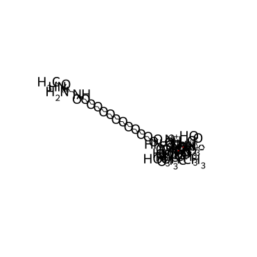 CCCNC(=O)[C@@H](N)CCCCNC(=O)CCOCCOCCOCCOCCOCCOCCOCCOCCOCCOCCOCCOC(=O)Nc1cc(C[N+]2(C)CCCC[C@@H]2C(=O)N[C@H](C(=O)N(C)[C@H](C[C@@H](OC(=O)C(C)C)c2nc(C(=O)N[C@@H](Cc3ccccc3)C[C@H](C)C(=O)O)cs2)C(C)C)[C@@H](C)CC)ccc1O[C@@H]1O[C@H](C(=O)O)[C@@H](O)[C@H](O)[C@H]1O